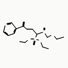 CCOC[PH](=O)C(CCC(=O)c1cccnc1)P(=O)(OCC)OCC